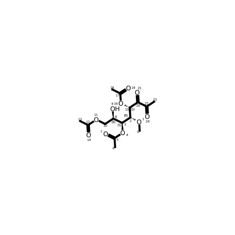 CO[C@H]([C@@H](OC(C)=O)[C@H](O)COC(C)=O)[C@H](OC(C)=O)C(=O)C(C)=O